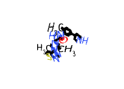 Cc1ccc(C2CCNCC2)cc1NC(=O)CN1CC(C)N(c2ncnc3sccc23)C(C)C1